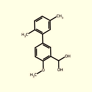 COc1ccc(-c2cc(C)ccc2C)cc1C(O)O